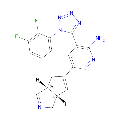 Nc1ncc(C2=C[C@@H]3CN=C[C@@H]3C2)cc1-c1nnnn1-c1cccc(F)c1F